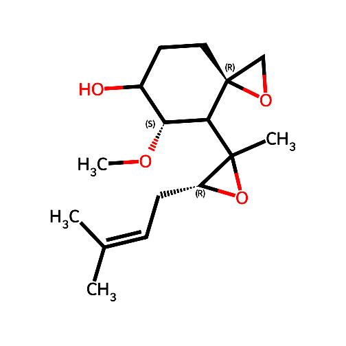 CO[C@@H]1C(O)CC[C@]2(CO2)C1C1(C)O[C@@H]1CC=C(C)C